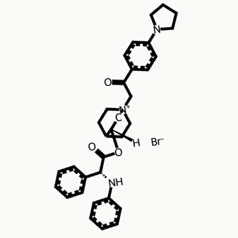 O=C(C[N+]12CCC(CC1)[C@@H](OC(=O)[C@H](Nc1ccccc1)c1ccccc1)C2)c1ccc(N2CCCC2)cc1.[Br-]